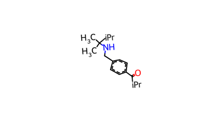 CC(C)C(=O)c1ccc(CNC(C)(C)C(C)C)cc1